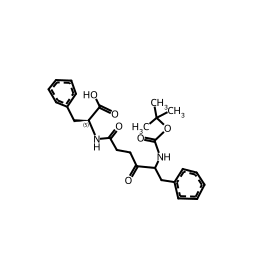 CC(C)(C)OC(=O)NC(Cc1ccccc1)C(=O)CCC(=O)N[C@@H](Cc1ccccc1)C(=O)O